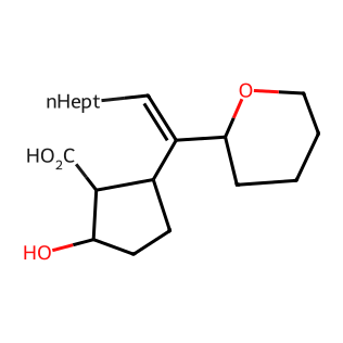 CCCCCCCC=C(C1CCCCO1)C1CCC(O)C1C(=O)O